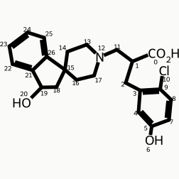 O=C(O)C(Cc1cc(O)ccc1Cl)CN1CCC2(CC1)CC(O)c1ccccc12